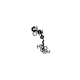 CC(C)(C)OC(=O)NCCC[C@H]1C[C@H](n2cc(-c3ncccc3Cl)cn2)C1